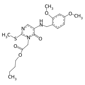 CCCCOC(=O)Cn1c(SC)ncc(NCc2ccc(OC)cc2OC)c1=O